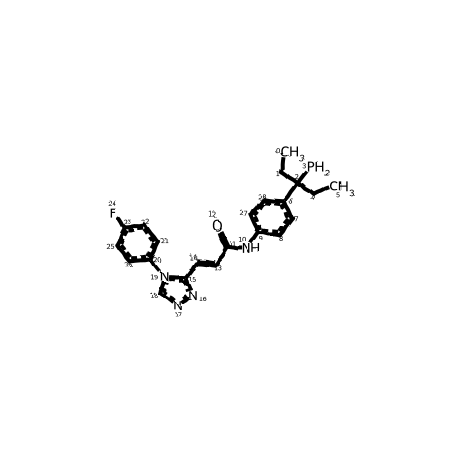 CCC(P)(CC)c1ccc(NC(=O)/C=C/c2nncn2-c2ccc(F)cc2)cc1